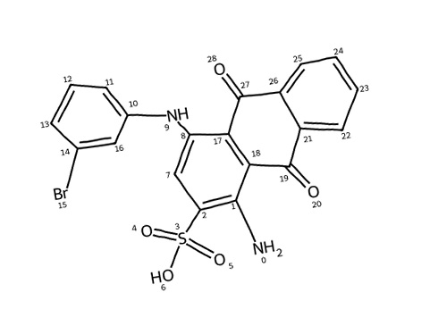 Nc1c(S(=O)(=O)O)cc(Nc2cccc(Br)c2)c2c1C(=O)c1ccccc1C2=O